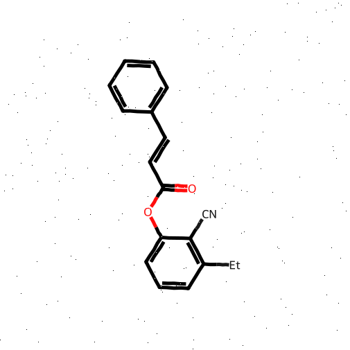 CCc1cccc(OC(=O)C=Cc2ccccc2)c1C#N